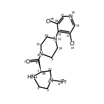 CC(C)N1CCN[C@@H](C(=O)N2CCN(c3c(Cl)cncc3Cl)CC2)C1